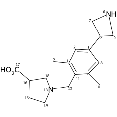 Cc1cc(C2CNC2)cc(C)c1CN1CCC(C(=O)O)C1